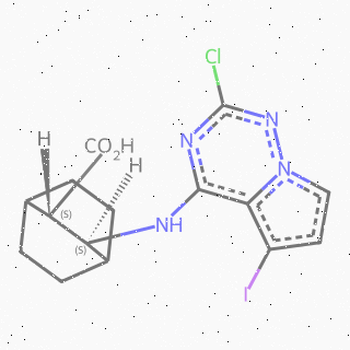 O=C(O)[C@H]1C2CCC(CC2)[C@@H]1Nc1nc(Cl)nn2ccc(I)c12